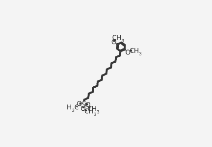 COc1ccc(OC)c(CCCCCCCCCCCCCCCC[Si](OC)(OC)OC)c1